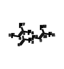 C=CF.FC=C(F)F.FC=C(F)F